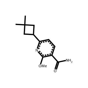 COc1nc(C2CC(C)(C)C2)ccc1C(N)=O